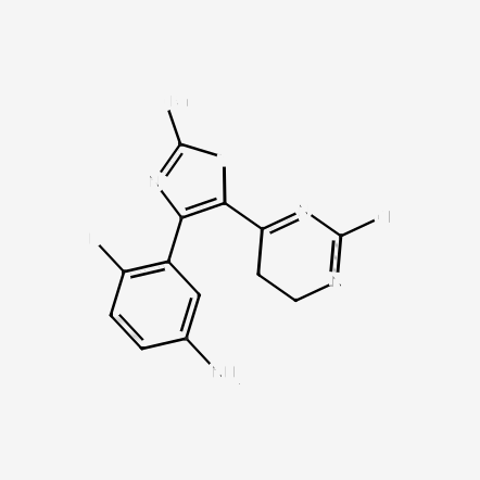 CC(C)(C)c1nc(-c2cc(N)ccc2F)c(C2=NC(Cl)=NCC2)s1